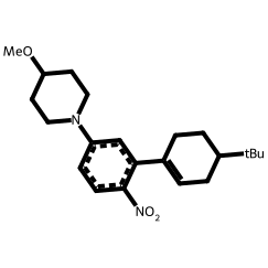 COC1CCN(c2ccc([N+](=O)[O-])c(C3=CCC(C(C)(C)C)CC3)c2)CC1